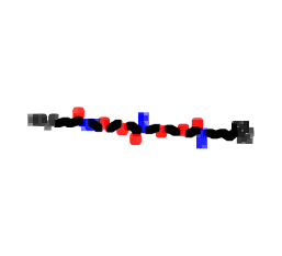 CC(=O)[C@@H](C)CCCCNC(=O)COCCOCCNC(=O)COCCOCCNC(=O)CCCC(=O)O